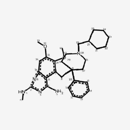 CNc1nc(N)c2c(CC3(c4ccccc4)CCN(CC4CCCCC4)CC3)c(OC)c(OC)cc2n1